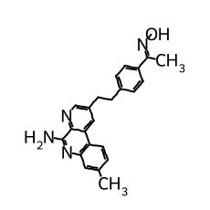 CC(=NO)c1ccc(CCc2cnc3c(N)nc4cc(C)ccc4c3c2)cc1